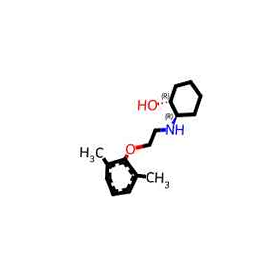 Cc1cccc(C)c1OCCN[C@@H]1CCCC[C@H]1O